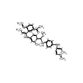 C=N/C=C\C(=C/C)Nc1ccc(NC(OC)C2C=CC(N/C(=C/C)c3cc(C(C)=O)ccc3N=C)=CN2C)cc1